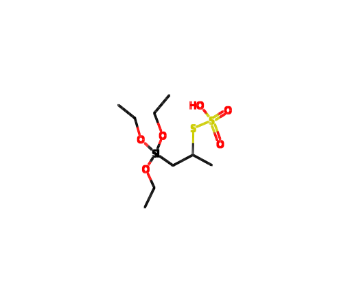 CCO[Si](CC(C)SS(=O)(=O)O)(OCC)OCC